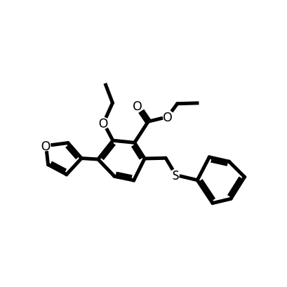 CCOC(=O)c1c(CSc2ccccc2)ccc(-c2ccoc2)c1OCC